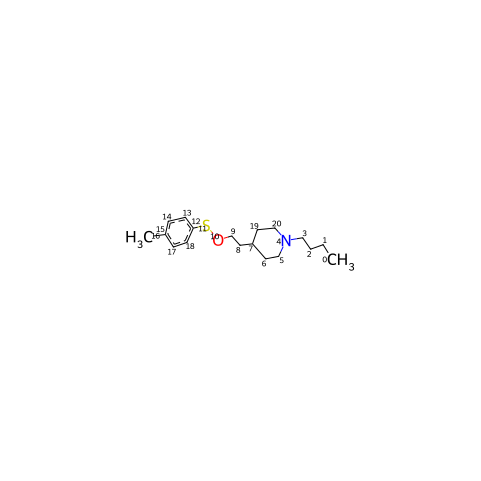 CCCCN1CCC(CCOSc2ccc(C)cc2)CC1